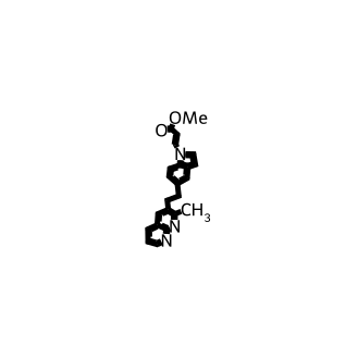 COC(=O)/C=C/n1ccc2cc(CCc3cc4cccnc4nc3C)ccc21